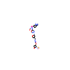 O=C(c1ccc2cc[nH]c2c1)N1CCOC2(CCN(Cc3cc(F)cc(CCNC[C@H](O)c4ccc(O)c5[nH]c(=O)sc45)c3)CC2)C1